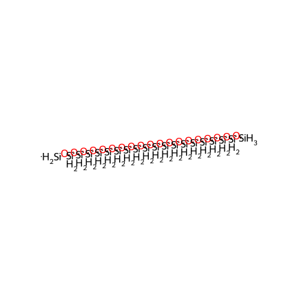 [SiH2]O[SiH2]O[SiH2]O[SiH2]O[SiH2]O[SiH2]O[SiH2]O[SiH2]O[SiH2]O[SiH2]O[SiH2]O[SiH2]O[SiH2]O[SiH2]O[SiH2]O[SiH2]O[SiH2]O[SiH2]O[SiH2]O[SiH3]